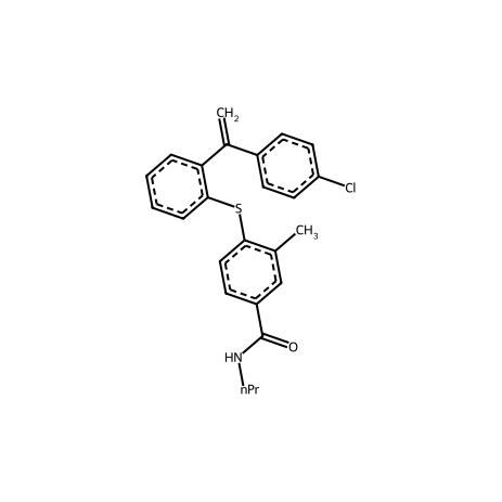 C=C(c1ccc(Cl)cc1)c1ccccc1Sc1ccc(C(=O)NCCC)cc1C